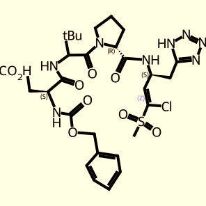 CC(C)(C)C(NC(=O)[C@H](CC(=O)O)NC(=O)OCc1ccccc1)C(=O)N1CCC[C@@H]1C(=O)N[C@H](/C=C(\Cl)S(C)(=O)=O)Cc1nnn[nH]1